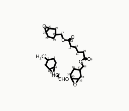 CC1CCC2OC2C1.O=C(CCCCC(=O)OCC1CCC2OC2C1)OCC1CCC2OC2C1.O=CO